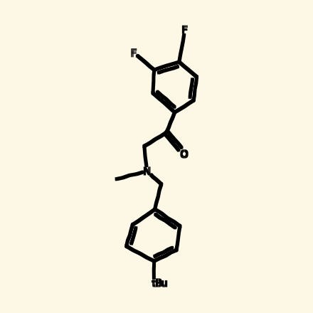 CN(CC(=O)c1ccc(F)c(F)c1)Cc1ccc(C(C)(C)C)cc1